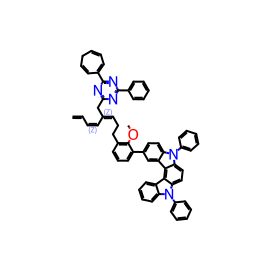 C=C/C=C\C(=C/CCc1cccc(-c2ccc3c(c2)c2c4c5ccccc5n(-c5ccccc5)c4ccc2n3-c2ccccc2)c1OC)Cc1nc(C2=CC=CCC=C2)nc(-c2ccccc2)n1